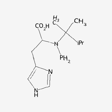 CC(C)C(C)(C)N(P)C(Cc1c[nH]cn1)C(=O)O